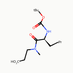 CC(C)C[C@H](NC(=O)OC(C)(C)C)C(=O)N(C)CCC(=O)O